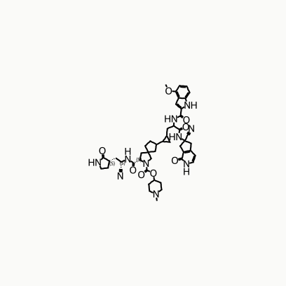 COc1cccc2[nH]c(C(=O)NC(CC3CC3C3CCC4(C3)C[C@@H](C(=O)N[C@H](C#N)C[C@@H]3CCNC3=O)N(C(=O)OC3CCN(C)CC3)C4)C(=O)NC3(C#N)Cc4cc[nH]c(=O)c4C3)cc12